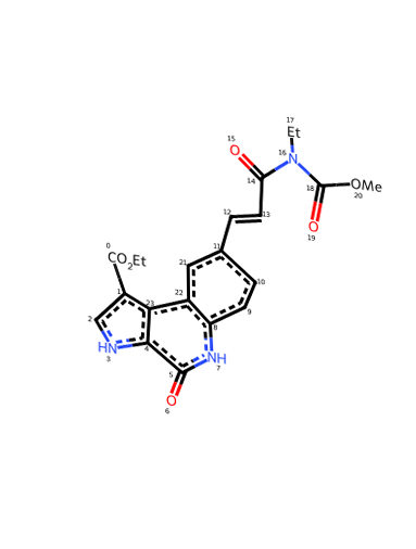 CCOC(=O)c1c[nH]c2c(=O)[nH]c3ccc(C=CC(=O)N(CC)C(=O)OC)cc3c12